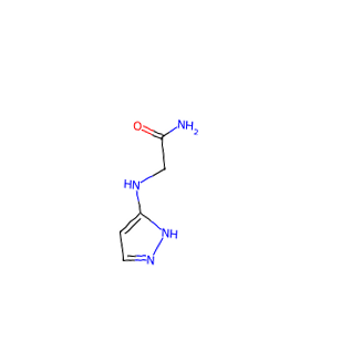 NC(=O)CNc1ccn[nH]1